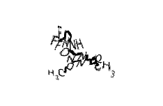 CCCOc1nc(C(=O)Nc2cccc(C(F)(F)F)n2)cn2cc(C34COC(C)(C3)C4)nc12